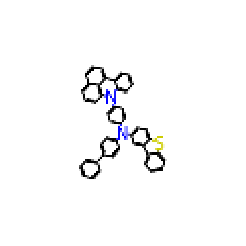 c1ccc(-c2ccc(N(c3ccc(N4c5ccccc5-c5cccc6cccc4c56)cc3)c3ccc4sc5ccccc5c4c3)cc2)cc1